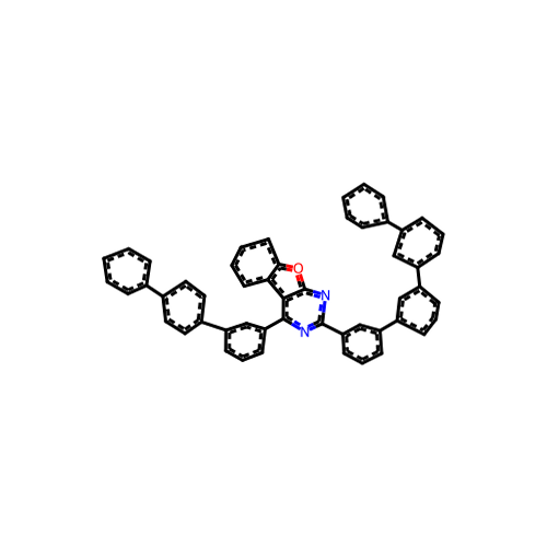 c1ccc(-c2ccc(-c3cccc(-c4nc(-c5cccc(-c6cccc(-c7cccc(-c8ccccc8)c7)c6)c5)nc5oc6ccccc6c45)c3)cc2)cc1